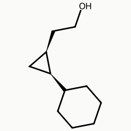 OCC[C@@H]1C[C@@H]1C1CCCCC1